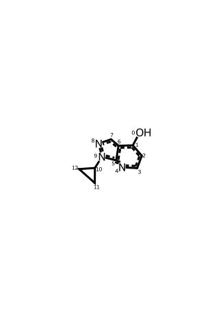 Oc1ccnc2c1cnn2C1CC1